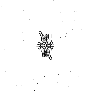 Cc1cc(C)cc(Oc2cc3c4c(cc(Oc5cc(C)cc(C)c5)c5c6c(Oc7cc(C)cc(C)c7)cc7c8c(cc(Oc9cc(C)cc(C)c9)c(c2c45)c86)C(=O)N(C(CO)C(=O)Nc2ccc4ccccc4c2)C7=O)C(=O)N(C(CO)C(=O)Nc2ccc4ccccc4c2)C3=O)c1